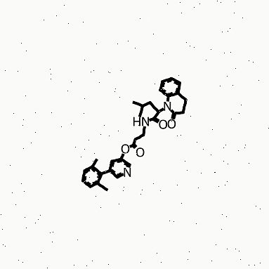 Cc1cccc(C)c1-c1cncc(OC(=O)CCNC(=O)C(CC(C)C)N2C(=O)CCc3ccccc32)c1